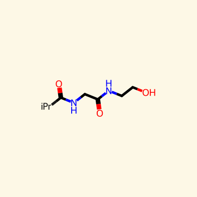 CC(C)C(=O)NCC(=O)NCCO